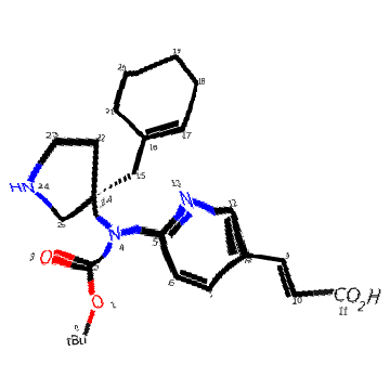 CC(C)(C)OC(=O)N(c1ccc(/C=C/C(=O)O)cn1)[C@]1(CC2=CCCCC2)CCNC1